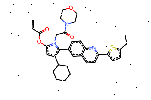 C=CC(=O)Oc1cc(C2CCCCC2)c(-c2ccc3nc(-c4ccc(CC)s4)ccc3c2)n1CC(=O)N1CCOCC1